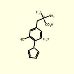 C[C@](N)(Cc1ccc(-n2cccc2)c(O)c1)C(=O)O.O